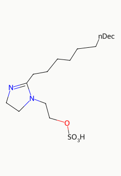 CCCCCCCCCCCCCCCCC1=NCCN1CCOS(=O)(=O)O